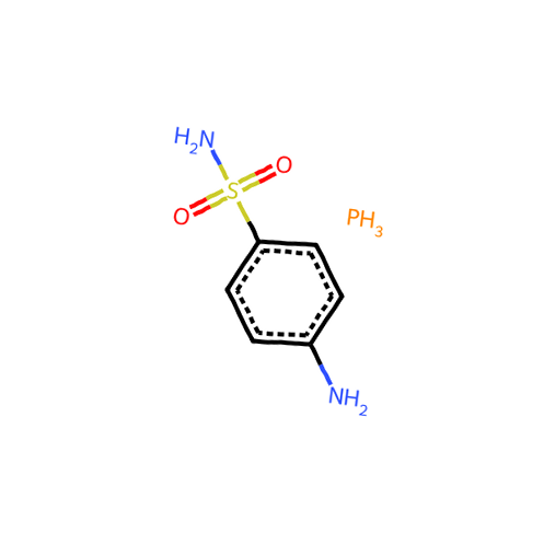 Nc1ccc(S(N)(=O)=O)cc1.P